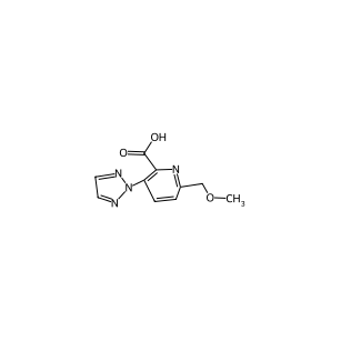 COCc1ccc(-n2nccn2)c(C(=O)O)n1